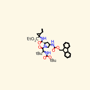 C=CC1CC1(NC(=O)[C@@H]1C[C@@H](NC(=O)OCC2c3ccccc3-c3ccccc32)CN1C(=O)[C@@H](NC(=O)OC(C)(C)C)C(C)(C)C)C(=O)OCC